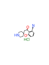 Cl.N#Cc1cccc2c1C(=O)CC1(CCNCC1)O2